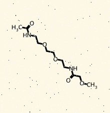 COCC(=O)NCCOCCOCCNC(C)=O